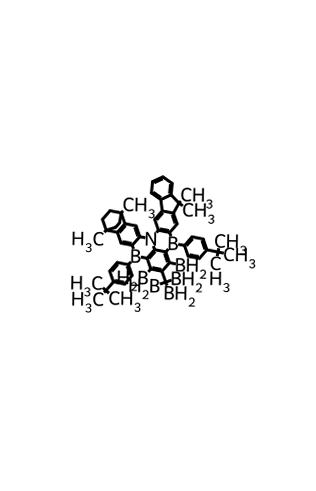 Bc1c2c3c(c(B)c1C(B)(B)B)B(c1ccc(C(C)(C)C)cc1)c1cc4c(cc1N3c1cc3c(cc1B2c1ccc(C(C)(C)C)cc1)C(C)(C)c1ccccc1-3)C1(C)CCC4(C)CC1